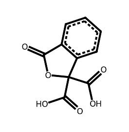 O=C1OC(C(=O)O)(C(=O)O)c2ccccc21